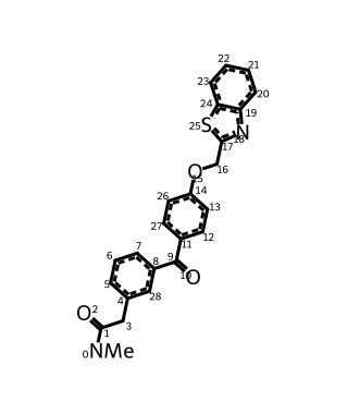 CNC(=O)Cc1cccc(C(=O)c2ccc(OCc3nc4ccccc4s3)cc2)c1